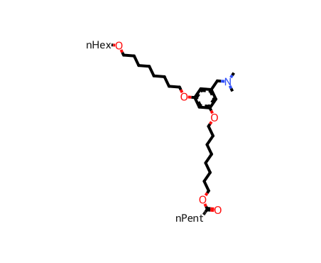 CCCCCCOCCCCCCCCOc1cc(CN(C)C)cc(OCCCCCCCCOC(=O)CCCCC)c1